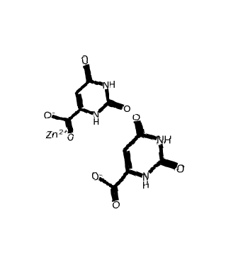 O=C([O-])c1cc(=O)[nH]c(=O)[nH]1.O=C([O-])c1cc(=O)[nH]c(=O)[nH]1.[Zn+2]